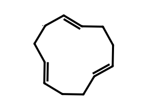 [CH]1/C=C/CC/C=C/CC/C=C/C1